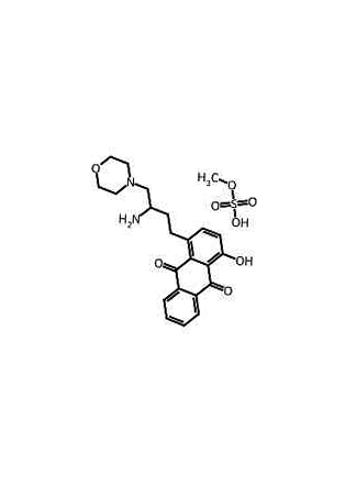 COS(=O)(=O)O.NC(CCc1ccc(O)c2c1C(=O)c1ccccc1C2=O)CN1CCOCC1